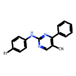 CCc1ccc(Nc2ncc(C#N)c(-c3ccccc3)n2)cc1